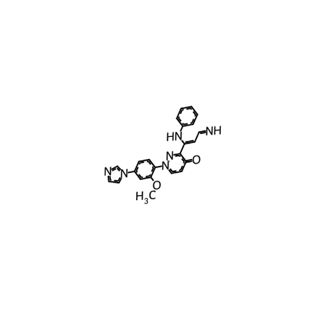 COc1cc(-n2ccnc2)ccc1-n1ccc(=O)c(/C(=C/C=N)Nc2ccccc2)n1